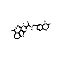 O=C1COc2ccc(CNC(=O)c3nc4sc5c(c4c(=O)[nH]3)C(C(=O)O)CCC5)cc2N1